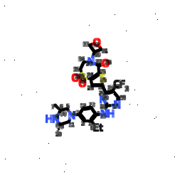 CCc1cc(N2C[C@H](C)N[C@@H](C)C2)ccc1Nc1ncc(C(F)(F)F)c(-c2cc3c(s2)C(=O)N(C2COC2)CCS3(=O)=O)n1